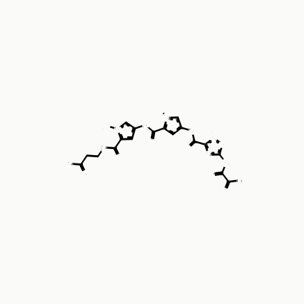 C=C(Br)C(=O)Nc1n[nH]c(C(=O)Nc2cc(C(=O)Nc3cc(C(=O)NCCC(=N)N)n(C)c3)n(C)c2)n1